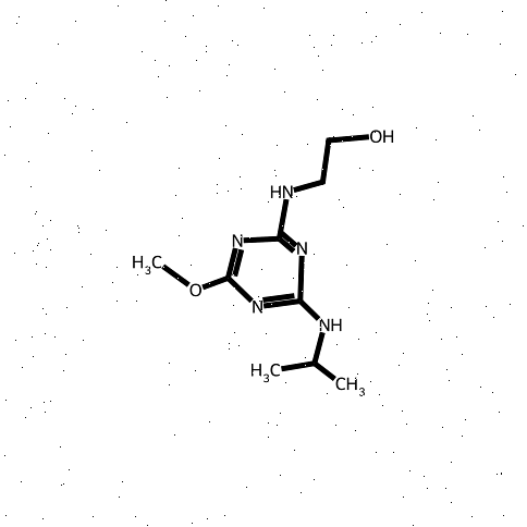 COc1nc(NCCO)nc(NC(C)C)n1